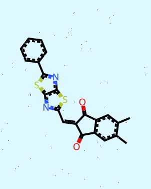 Cc1cc2c(cc1C)C(=O)C(=Cc1nc3sc(-c4ccccc4)nc3s1)C2=O